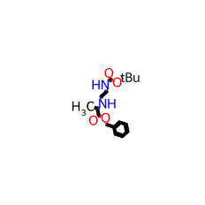 CC(NCCNC(=O)OC(C)(C)C)C(=O)OCc1ccccc1